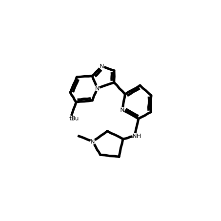 CN1CCC(Nc2cccc(-c3cnc4ccc(C(C)(C)C)cn34)n2)C1